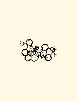 COc1cccc(C(=O)NC2(NC(=O)c3cccc(OC)c3-c3ccccc3C(F)(F)F)c3ccccc3CCN2C(=O)O)c1-c1ccccc1C(F)(F)F